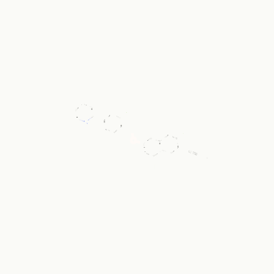 Cc1ccc(-c2cc(F)c(COc3cc(F)c4c(F)c(C#CC(F)(F)F)c(F)cc4c3)c(F)c2)nc1